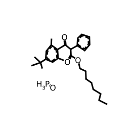 CCCCCCCCOC(=O)C(C(=O)c1c(C)cc(C(C)(C)C)cc1C)c1ccccc1.O=[PH3]